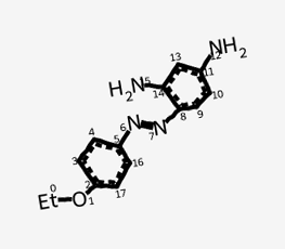 CCOc1ccc(N=Nc2ccc(N)cc2N)cc1